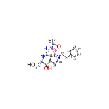 CCC(N)=O.O=C(O)c1ncc2c(=O)n(CCc3ccccc3)ccc2c1O